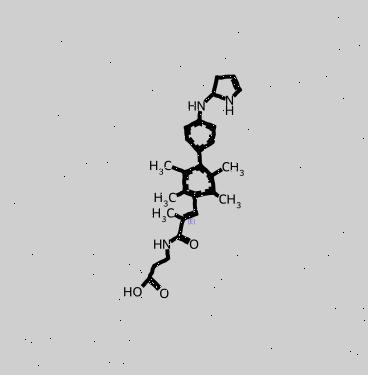 C/C(=C\c1c(C)c(C)c(-c2ccc(NC3CC=CN3)cc2)c(C)c1C)C(=O)NCCC(=O)O